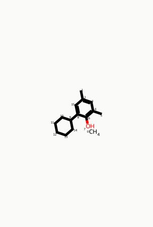 C.Cc1cc(C)c(O)c(C2CCCCC2)c1